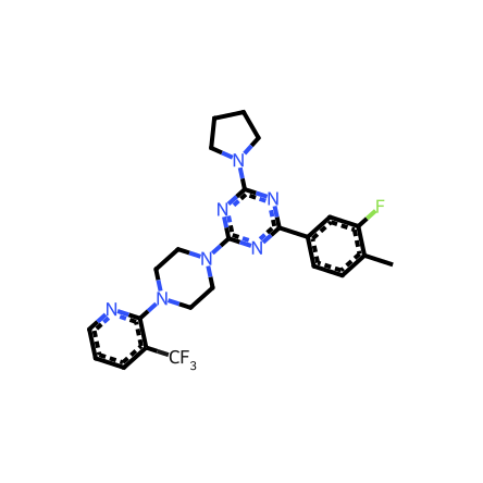 Cc1ccc(-c2nc(N3CCCC3)nc(N3CCN(c4ncccc4C(F)(F)F)CC3)n2)cc1F